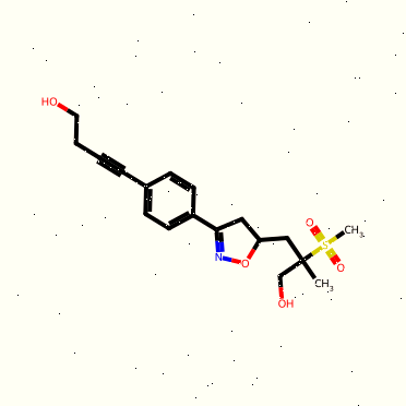 CC(CO)(CC1CC(c2ccc(C#CCCO)cc2)=NO1)S(C)(=O)=O